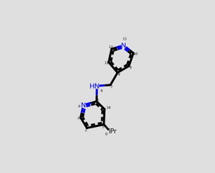 CC(C)c1ccnc(NCc2ccncc2)c1